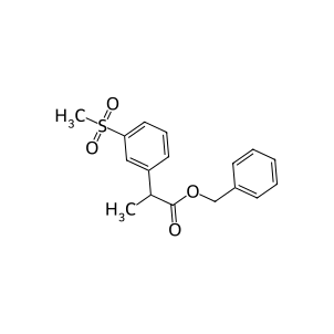 CC(C(=O)OCc1ccccc1)c1cccc(S(C)(=O)=O)c1